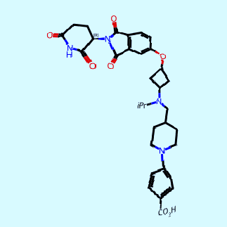 CC(C)N(CC1CCN(c2ccc(C(=O)O)cc2)CC1)C1CC(Oc2ccc3c(c2)C(=O)N([C@@H]2CCC(=O)NC2=O)C3=O)C1